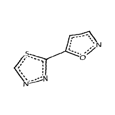 c1cc(-c2nncs2)on1